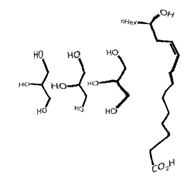 CCCCCC[C@@H](O)C/C=C\CCCCCCCC(=O)O.OCC(O)CO.OCC(O)CO.OCC(O)CO